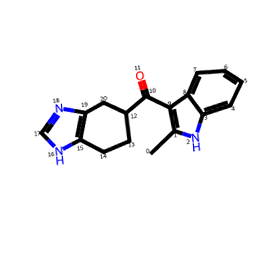 Cc1[nH]c2ccccc2c1C(=O)C1CCc2[nH]cnc2C1